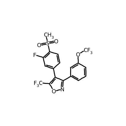 CS(=O)(=O)c1ccc(-c2c(-c3cccc(OC(F)(F)F)c3)noc2C(F)(F)F)cc1F